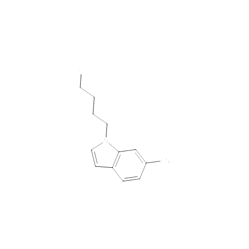 N#Cc1ccc2ccn(CCCCCl)c2c1